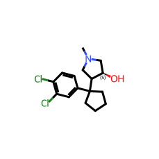 CN1CC(C2(c3ccc(Cl)c(Cl)c3)CCCC2)[C@H](O)C1